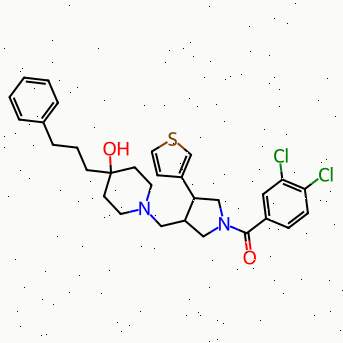 O=C(c1ccc(Cl)c(Cl)c1)N1CC(CN2CCC(O)(CCCc3ccccc3)CC2)C(c2ccsc2)C1